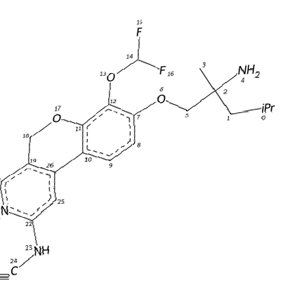 CC(C)CC(C)(N)COc1ccc2c(c1OC(F)F)OCc1cnc(NC(=O)O)cc1-2